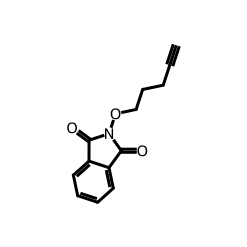 C#CCCCON1C(=O)c2ccccc2C1=O